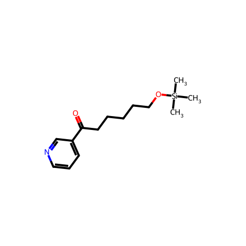 C[Si](C)(C)OCCCCCC(=O)c1cccnc1